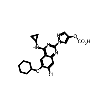 O=C(O)Oc1cnn(-c2nc(NC3CC3)c3cc(OC4CCCCC4)c(Cl)cc3n2)c1